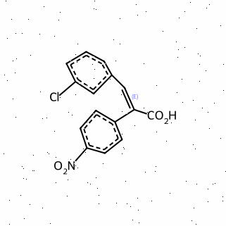 O=C(O)/C(=C/c1cccc(Cl)c1)c1ccc([N+](=O)[O-])cc1